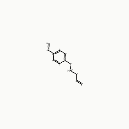 C=CCNCc1ccc(C=C)cc1